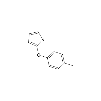 Cc1ccc(Oc2c[c]cs2)cc1